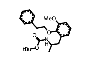 COc1cccc(CC(C)NC(=O)OC(C)(C)C)c1OCCc1ccccc1